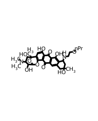 CCCOCCNC1CC(C)(O)Cc2cc3c(c(O)c21)C(=O)c1c(O)cc2c(c1C3=O)OC1OC2(C)C(O)C(N(C)C)C1O